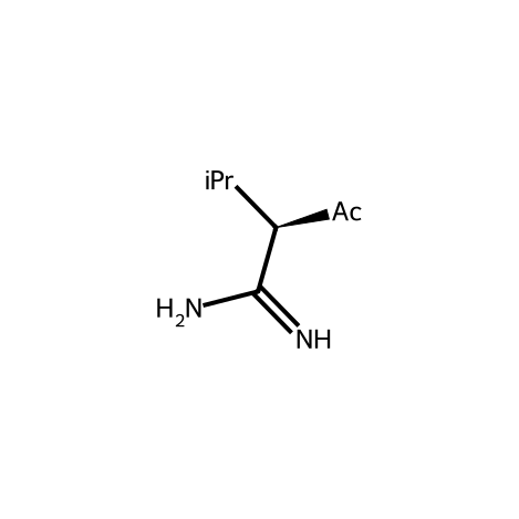 CC(=O)[C@@H](C(=N)N)C(C)C